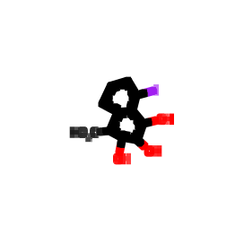 O=C(O)c1c(O)c(O)c(O)c2c(I)cccc12